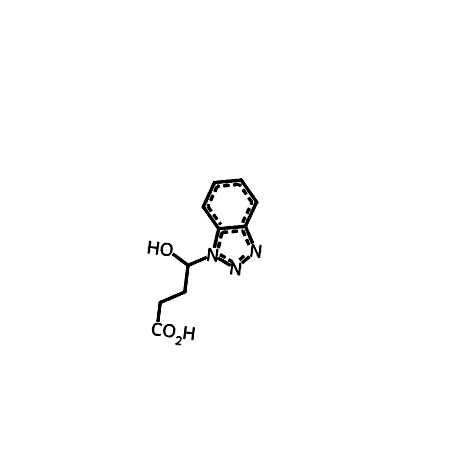 O=C(O)CCC(O)n1nnc2ccccc21